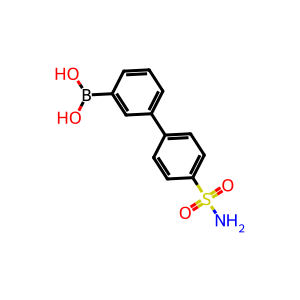 NS(=O)(=O)c1ccc(-c2cccc(B(O)O)c2)cc1